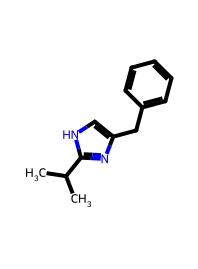 CC(C)c1nc(Cc2ccccc2)c[nH]1